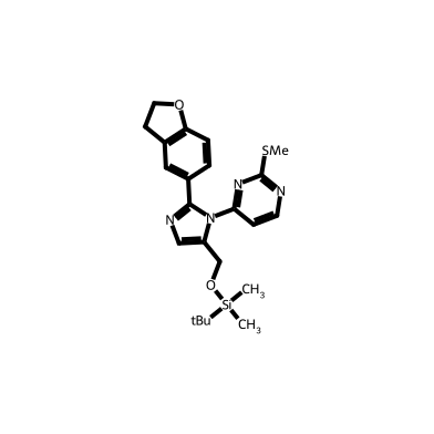 CSc1nccc(-n2c(CO[Si](C)(C)C(C)(C)C)cnc2-c2ccc3c(c2)CCO3)n1